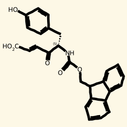 O=C(O)C=CC(=O)[C@H](Cc1ccc(O)cc1)NC(=O)OCC1c2ccccc2-c2ccccc21